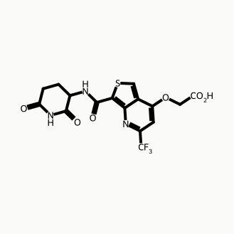 O=C(O)COc1cc(C(F)(F)F)nc2c(C(=O)NC3CCC(=O)NC3=O)scc12